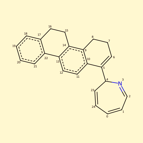 C1=CC=NC(C2=CCCc3c2ccc2c3CCc3ccccc3-2)C=C1